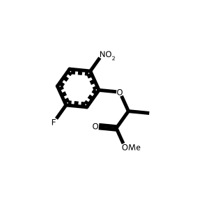 COC(=O)C(C)Oc1cc(F)ccc1[N+](=O)[O-]